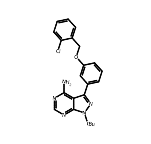 CC(C)(C)n1nc(-c2cccc(OCc3ccccc3Cl)c2)c2c(N)ncnc21